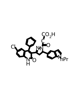 CCCn1ccc2cc(C3CC(c4c(-c5ccccc5)c5cc(Cl)ccc5[nH]c4=O)=NN3C(=O)CCC(=O)O)ccc21